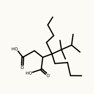 CCCCC(CCCC)(C(CC(=O)O)C(=O)O)C(C)(C)C(C)C